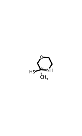 C[C@]1(S)COCCN1